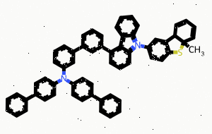 CC12C=CC=CC1c1cc(-n3c4ccccc4c4c(-c5cccc(-c6cccc(N(c7ccc(-c8ccccc8)cc7)c7ccc(-c8ccccc8)cc7)c6)c5)cccc43)ccc1S2